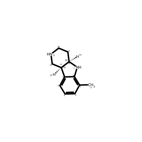 Cc1cccc2c1N[C@@H]1CCNC[C@H]21